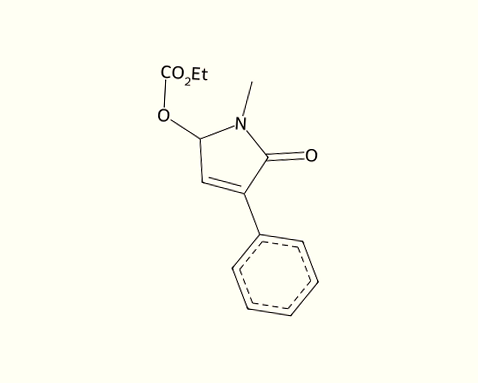 CCOC(=O)OC1C=C(c2ccccc2)C(=O)N1C